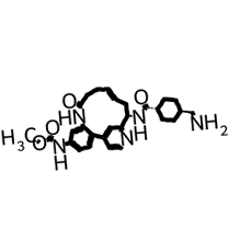 COC(=O)Nc1ccc2c(c1)NC(=O)CC/C=C/C[C@H](NC(=O)[C@H]1CC[C@H](CN)CC1)c1cc-2ccn1